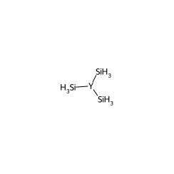 [SiH3][Y]([SiH3])[SiH3]